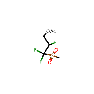 CC(=O)OCC(F)C(F)(F)S(C)(=O)=O